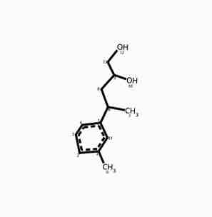 Cc1cccc(C(C)CC(O)CO)c1